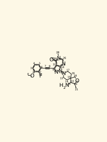 COc1cccc(C#Cc2nn(N3CCC4(CC3)CO[C@@H](C)[C@H]4N)c3ncn(C)c(=O)c23)c1F